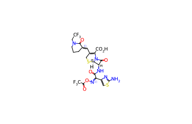 Nc1nc(/C(=N/OC(=O)C(F)(F)F)C(=O)N[C@@H]2C(=O)N3C(C(=O)O)=C(/C=C4\CCCN(CC(F)(F)F)C4=O)CS[C@H]23)cs1